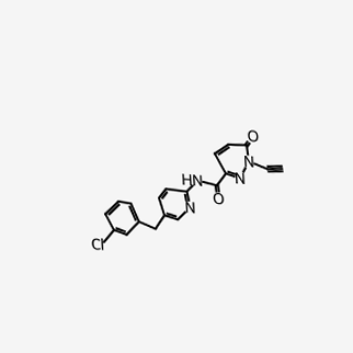 C#Cn1nc(C(=O)Nc2ccc(Cc3cccc(Cl)c3)cn2)ccc1=O